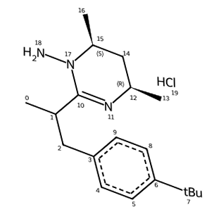 CC(Cc1ccc(C(C)(C)C)cc1)C1=N[C@H](C)C[C@H](C)N1N.Cl